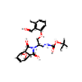 Cc1cccc(OCC(CNC(=O)OC(C)(C)C)N2C(=O)C3C4C=CC(O4)C3C2=O)c1C=O